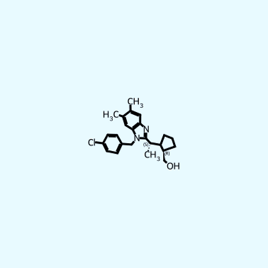 Cc1cc2nc([C@@H](C)C3CCC[C@H]3CO)n(Cc3ccc(Cl)cc3)c2cc1C